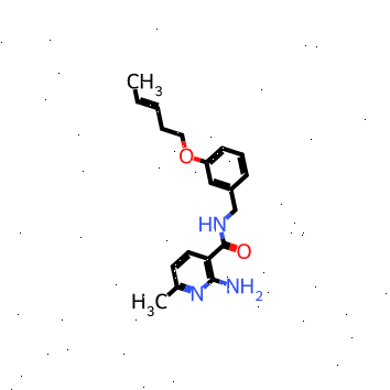 C/C=C/CCOc1cccc(CNC(=O)c2ccc(C)nc2N)c1